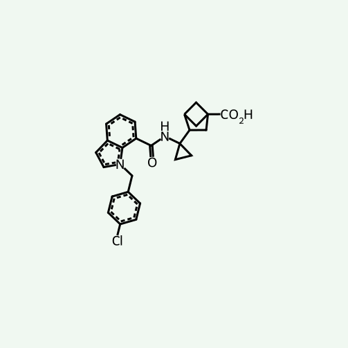 O=C(NC1(C2CC3(C(=O)O)CC2C3)CC1)c1cccc2ccn(Cc3ccc(Cl)cc3)c12